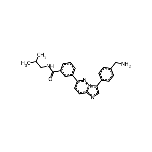 CC(C)CNC(=O)c1cccc(-c2ccc3ncc(-c4ccc(CN)cc4)n3n2)c1